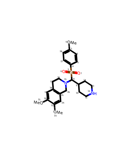 COc1ccc(S(=O)(=O)C(C2CCNCC2)N2CCc3cc(OC)c(OC)cc3C2)cc1